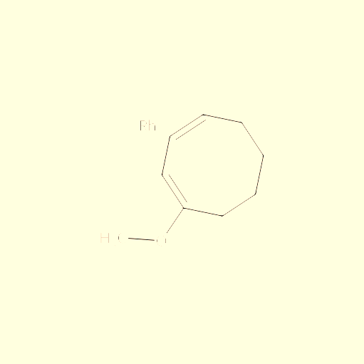 COC1=CC=CCCCC1.[Rh]